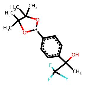 CC1(C)OB(c2ccc(C(C)(O)C(F)(F)F)cc2)OC1(C)C